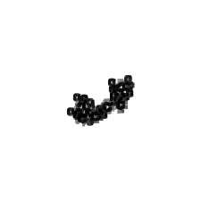 O=C(Nc1ccccc1Oc1ccc(S(=O)(=O)c2ccc(Oc3ccccc3NC(=O)c3c4c(=O)oc(=O)c4cc4c(=O)oc(=O)c34)cc2)cc1)c1c2c(=O)oc(=O)c2cc2c(=O)oc(=O)c12